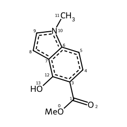 COC(=O)c1ccc2c(ccn2C)c1O